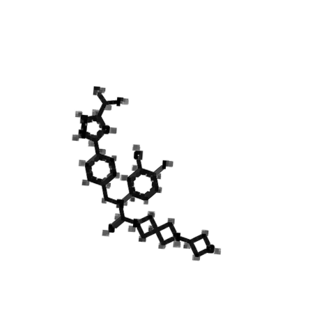 Fc1ccc(N(Cc2ccc(-c3nnc(C(F)F)o3)cc2)C(=S)N2CC3(C2)CN(C2COC2)C3)cc1Cl